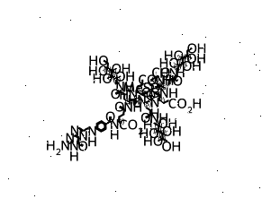 CSSC[C@@H](NC(=O)[C@H](CCC(=O)NC[C@H](O)[C@@H](O)[C@H](O)[C@H](O)CO)NC(=O)[C@@H](CCC(=O)O)NC(=O)[C@H](CCC(=O)NC[C@H](O)[C@@H](O)[C@H](O)[C@H](O)CO)NC(=O)[C@@H](CCC(=O)O)NC(=O)[C@H](CCC(=O)NC[C@H](O)[C@@H](O)[C@H](O)[C@H](O)CO)NC(=O)CC[C@H](NC(=O)c1ccc(NCc2cnc3nc(N)[nH]c(=O)c3n2)cc1)C(=O)O)C(=O)O